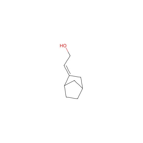 OCC=C1CC2CCC1C2